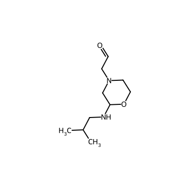 CC(C)CNC1CN(CC=O)CCO1